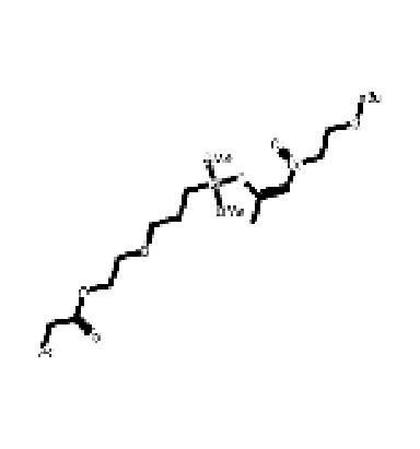 CCCCOC[CH2][Co](=[O])[CH]=C(C)O[Si](CCCOCCOC(=O)CC(C)=O)(OC)OC